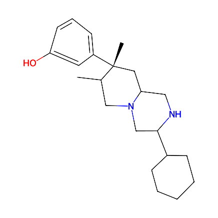 CC1CN2CC(C3CCCCC3)NCC2C[C@@]1(C)c1cccc(O)c1